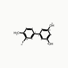 Cc1ccc(-c2cc(O)cc(O)c2)cc1F